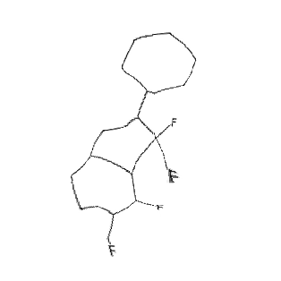 FC1CCC2CC(C3CCCCC3)C(F)(F)C2C1F